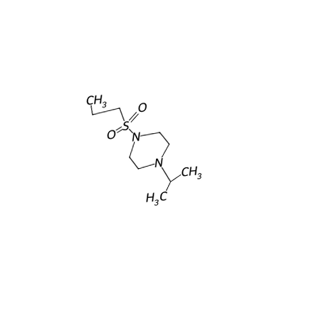 CCCS(=O)(=O)N1CCN(C(C)C)CC1